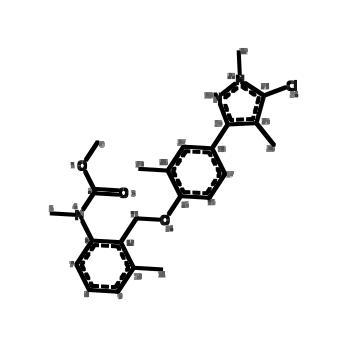 COC(=O)N(C)c1cccc(C)c1COc1ccc(-c2nn(C)c(Cl)c2C)cc1C